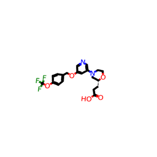 O=C(O)CC[C@@H]1CN(c2cncc(OCc3ccc(OC(F)(F)F)cc3)c2)CCO1